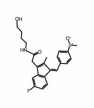 CC1=C(CC(=O)NCCCCO)c2cc(F)ccc2/C1=C/c1ccc([S+](C)[O-])cc1